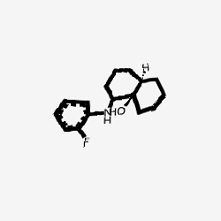 O[C@]12CCCC[C@@H]1CCCC2Nc1ccccc1F